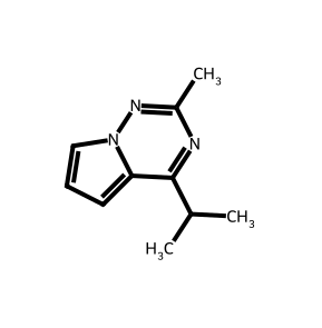 Cc1nc(C(C)C)c2cccn2n1